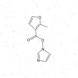 Cc1occc1C(=O)On1ccnc1